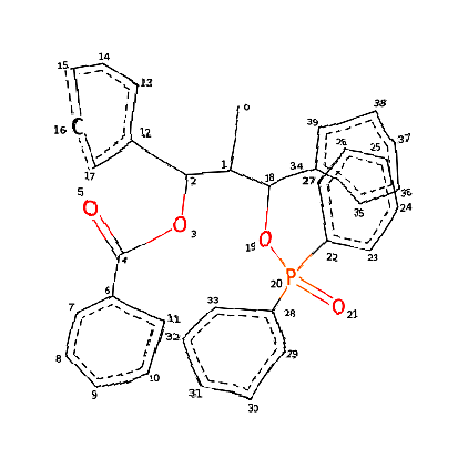 CC(C(OC(=O)c1ccccc1)c1ccccc1)C(OP(=O)(c1ccccc1)c1ccccc1)c1ccccc1